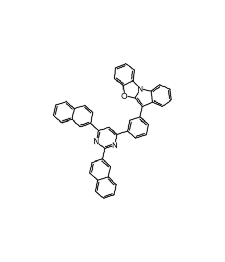 c1cc(-c2cc(-c3ccc4ccccc4c3)nc(-c3ccc4ccccc4c3)n2)cc(-c2c3ccccc3n3c2oc2ccccc23)c1